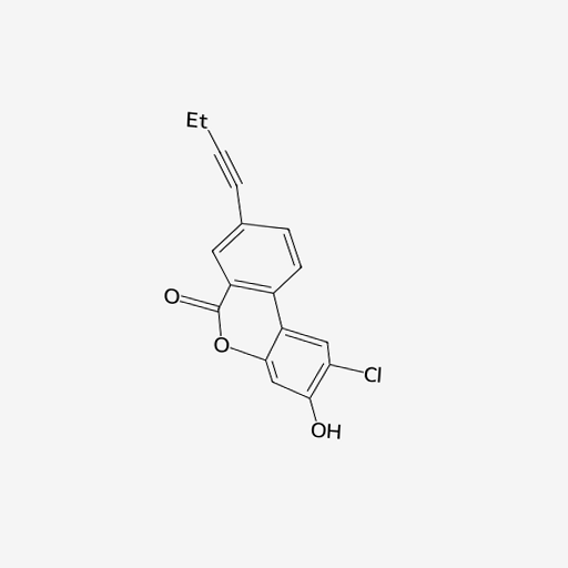 CCC#Cc1ccc2c(c1)c(=O)oc1cc(O)c(Cl)cc12